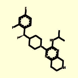 CC(C)Nc1nc2c(nc1N1CCC([C@H](F)c3ccc(F)cc3F)CC1)CCNC2